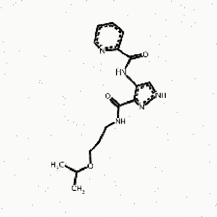 CC(C)OCCCNC(=O)c1n[nH]cc1NC(=O)c1ccccn1